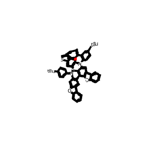 CC(C)(C)c1ccc(N2B3c4cc5sccc5cc4N(c4ccc(C(C)(C)C)cc4-c4ccccc4)c4cc5c(oc6ccccc65)c(c43)-c3cc4c(cc32)oc2ccccc24)cc1